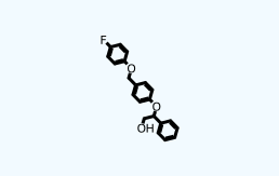 OCC(Oc1ccc(COc2ccc(F)cc2)cc1)c1ccccc1